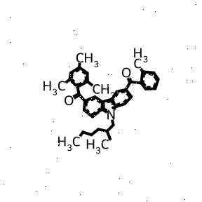 CCCCC(CC)Cn1c2ccc(C(=O)c3ccccc3C)cc2c2cc(C(=O)c3c(C)cc(C)cc3C)ccc21